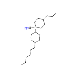 CCCCCCC1CCC([C@]2(C#N)CC[C@@H](CCC)CC2)CC1